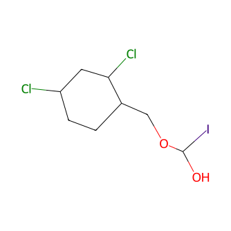 OC(I)OCC1CCC(Cl)CC1Cl